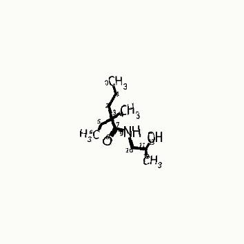 CCCC(C)(CC)C(=O)NCC(C)O